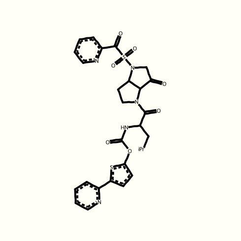 CC(C)CC(NC(=O)Oc1ccc(-c2ccccn2)s1)C(=O)N1CCC2C1C(=O)CN2S(=O)(=O)C(=O)c1ccccn1